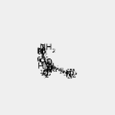 Nc1ccc(-c2cccc(C(=O)Nc3nc(CCCCCCN4CCCCC4)cn3-c3ccccc3)c2)cn1